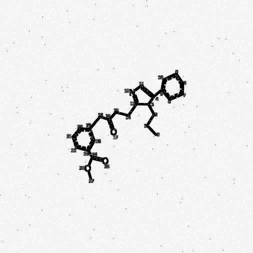 CCCC1C(c2ccccc2)=CN=C1CCC(=O)Cc1cccc(C(=O)OC)c1